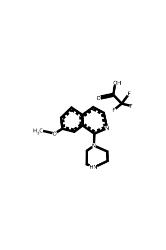 COc1ccc2ccnc(N3CCNCC3)c2c1.O=C(O)C(F)(F)F